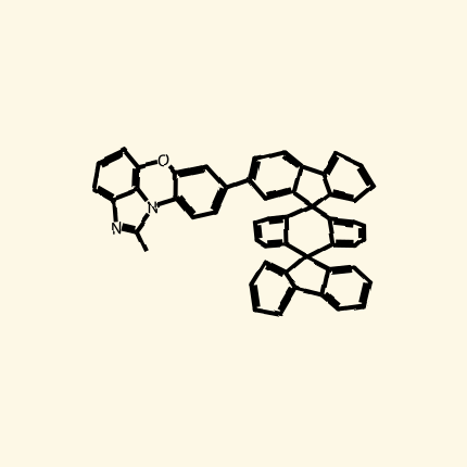 Cc1nc2cccc3c2n1-c1ccc(-c2ccc4c(c2)C2(c5ccccc5-4)c4ccccc4C4(c5ccccc5-c5ccccc54)c4ccccc42)cc1O3